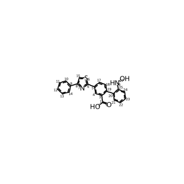 O=C(O)c1cc(-c2nc(-c3ccccc3)cs2)ccc1-c1ccccc1NO